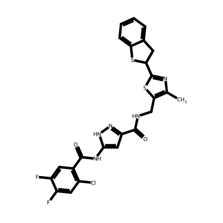 Cc1nc(C2Cc3ccccc3S2)sc1CNC(=O)c1cc(NC(=O)c2cc(F)c(F)cc2Cl)[nH]n1